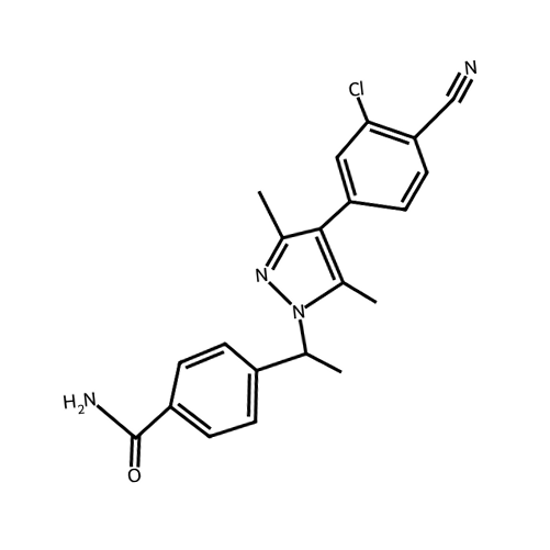 Cc1nn(C(C)c2ccc(C(N)=O)cc2)c(C)c1-c1ccc(C#N)c(Cl)c1